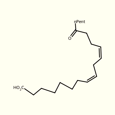 CCCCCC(=O)CC/C=C\C/C=C\CCCCCCC(=O)O